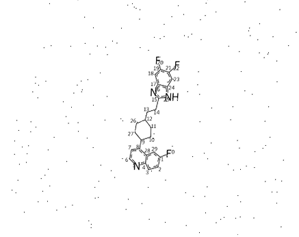 Fc1ccc2nccc(C3CCC(CCc4nc5cc(F)c(F)cc5[nH]4)CC3)c2c1